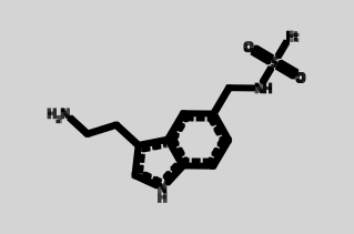 CCS(=O)(=O)NCc1ccc2[nH]cc(CCN)c2c1